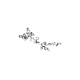 CCOC(=O)/C=C/C(=O)C(C)C(=O)SCCNC(=O)CCNC(=O)[C@@H]1OP(=O)(OCC)OCC1(C)C